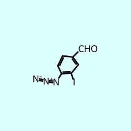 [N-]=[N+]=Nc1ccc(C=O)cc1I